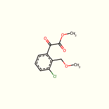 COCc1c(Cl)cccc1C(=O)C(=O)OC